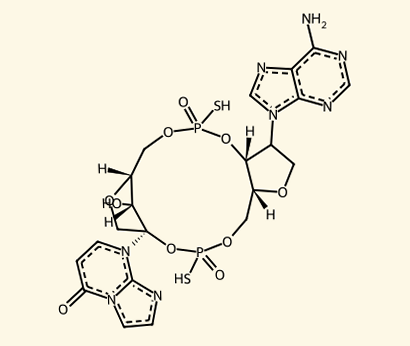 Nc1ncnc2c1ncn2C1CO[C@@H]2COP(=O)(S)O[C@@]3(n4ccc(=O)n5ccnc45)CO[C@H](COP(=O)(S)O[C@H]12)[C@H]3O